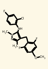 COc1cc(F)c(Cc2c(C)nn(C)c2Nc2ccc(F)cc2Cl)c(F)c1